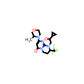 CC1COCCN1c1cc(=O)n2c(n1)N(CC(=O)C1CC1)C(C(F)(F)F)CC2